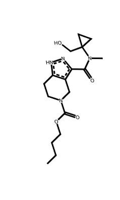 CCCCOC(=O)N1CCc2[nH]nc(C(=O)N(C)C3(CO)CC3)c2C1